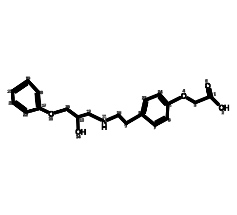 O=C(O)COc1ccc(CCNCC(O)COc2ccccc2)cc1